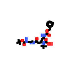 CC(C)(C)OC(=O)NCCNC(=O)CC(CCNC(=O)OCc1ccccc1)N(C(=O)O)C(C)(C)C